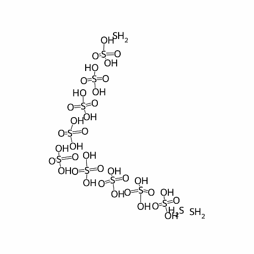 O=S(=O)(O)O.O=S(=O)(O)O.O=S(=O)(O)O.O=S(=O)(O)O.O=S(=O)(O)O.O=S(=O)(O)O.O=S(=O)(O)O.O=S(=O)(O)O.O=S(=O)(O)O.S.S.S